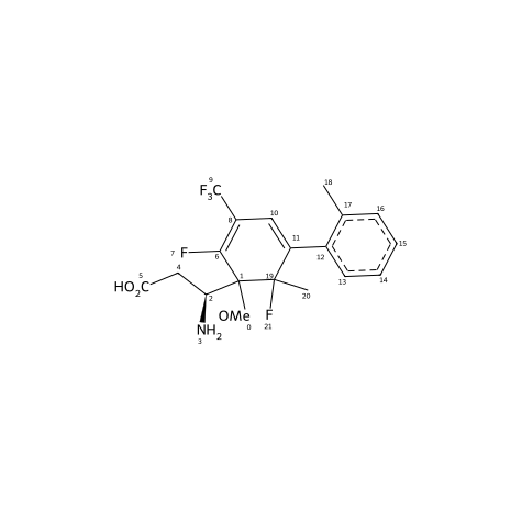 COC1([C@@H](N)CC(=O)O)C(F)=C(C(F)(F)F)C=C(c2ccccc2C)C1(C)F